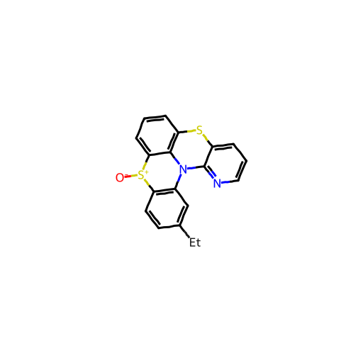 CCc1ccc2c(c1)N1c3ncccc3Sc3cccc(c31)[S+]2[O-]